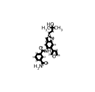 CC(C)(O)CCn1cc2cc(NC(=O)c3cccc(C(N)=O)c3)c(-c3ccoc3)cc2n1